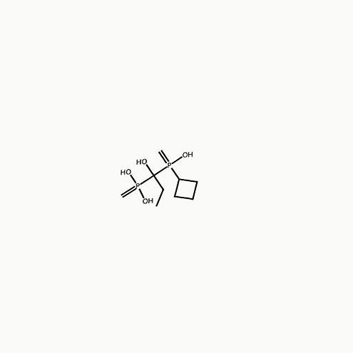 C=P(O)(O)C(O)(CC)P(=C)(O)C1CCC1